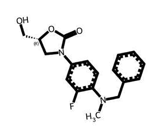 CN(Cc1ccccc1)c1ccc(N2C[C@H](CO)OC2=O)cc1F